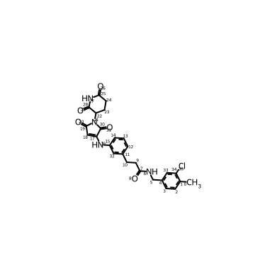 Cc1ccc(CNC(=O)CCc2cccc(NC3=CC(=O)N(C4CCC(=O)NC4=O)C3=O)c2)cc1Cl